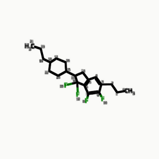 CCCc1cc2c(c(F)c1F)C(F)(F)C(C1CCC(CCC)CC1)C2